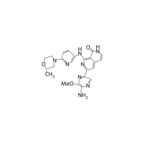 COc1nc(-c2cc3cc[nH]c(=O)c3c(Nc3ccc(N4CCO[C@@H](C)C4)nc3)n2)cnc1N